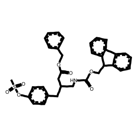 CS(=O)(=O)Oc1ccc(CC(CNC(=O)OCC2c3ccccc3-c3ccccc32)CC(=O)OCc2ccccc2)cc1